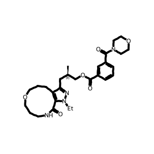 CCn1nc(C[C@@H](C)COC(=O)c2cccc(C(=O)N3CCOCC3)c2)c2c1C(=O)NCCCOCCC2